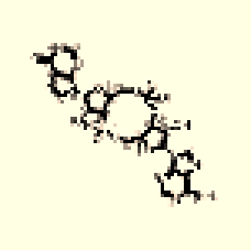 Nc1ncnc2c1ncn2[C@@H]1O[C@@H]2COP(=O)(O)[C@H]3[C@@H](O)[C@H](n4cnc5c(=O)[nH]cnc54)O[C@@H]3COP(=O)(O)O[C@H]2[C@H]1O